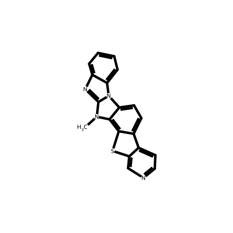 Cn1c2c3sc4cnccc4c3ccc2n2c3ccccc3nc12